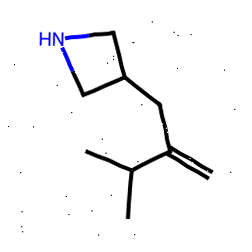 C=C(CC1CNC1)C(C)C